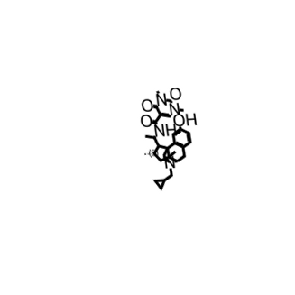 CC(NC(=O)c1cn(C)c(=O)n(C)c1=O)C1[C@@H](C)CC2(C)C3Cc4ccc(O)cc4C12CCN3CC1CC1